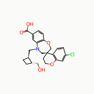 O=C(O)c1ccc2c(c1)N(C[C@@H]1CC[C@H]1CO)C[C@@]1(CCOc3cc(Cl)ccc31)CO2